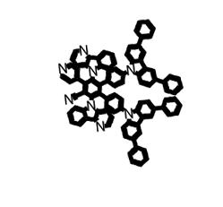 N#Cc1c(-c2ccncc2)c(-n2c3ccccc3c3ncccc32)c(-c2ccc(-n3c4ccc(-c5ccccc5)cc4c4cc(-c5ccccc5)ccc43)cc2)c(-c2ccc(-n3c4ccc(-c5ccccc5)cc4c4cc(-c5ccccc5)ccc43)cc2)c1-n1c2ccccc2c2ncccc21